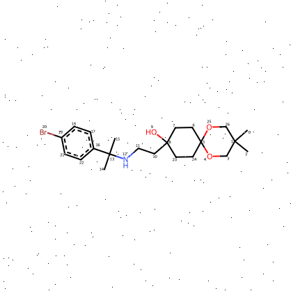 CC1(C)COC2(CCC(O)(CCNC(C)(C)c3ccc(Br)cc3)CC2)OC1